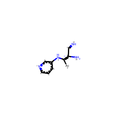 CC(=O)/C(Nc1cccnc1)=C(\N)C=N